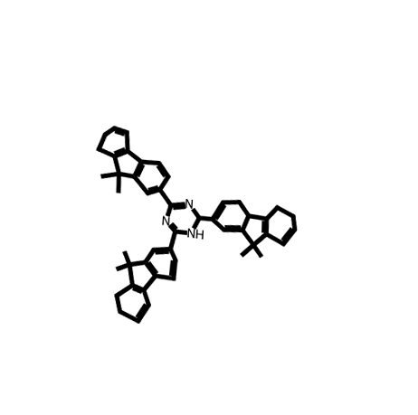 CC1(C)C2=CC(C3N=C(c4ccc5c(c4)C(C)(C)C4=C5C=CCC4)N=C(c4ccc5c(c4)C(C)(C)C4=C5C=CCC4)N3)=CCC2C2=C1C=CCC2